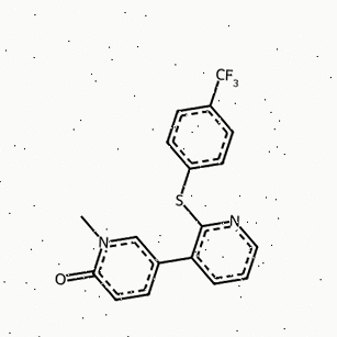 Cn1cc(-c2cccnc2Sc2ccc(C(F)(F)F)cc2)ccc1=O